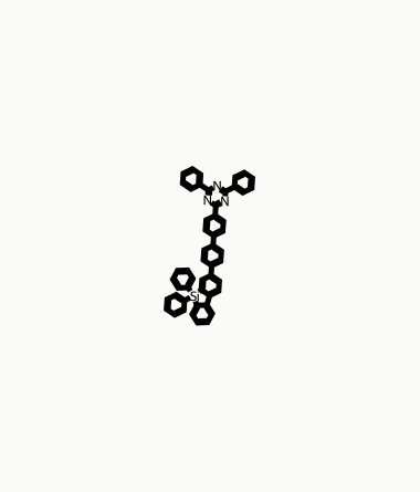 c1ccc(-c2nc(-c3ccccc3)nc(-c3ccc(-c4ccc(-c5ccc6c(c5)[Si](c5ccccc5)(c5ccccc5)c5ccccc5-6)cc4)cc3)n2)cc1